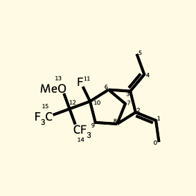 CC=C1C(=CC)C2CC1CC2(F)C(OC)(C(F)(F)F)C(F)(F)F